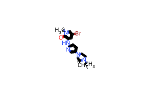 C[C@H]1CN(c2ccc(Nc3cc(Br)cn(C)c3=O)nc2)CCN1C